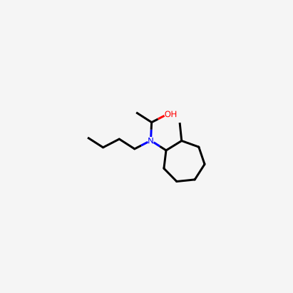 CCCCN(C(C)O)C1CCCCCC1C